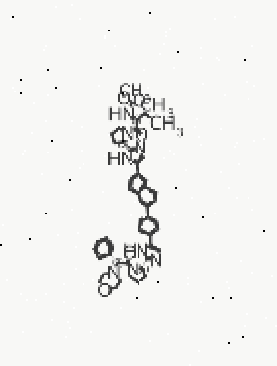 COC(=O)N[C@H](C(=O)N1CCC[C@H]1c1ncc(-c2ccc3cc(-c4ccc(-c5cnc([C@@H]6CCCN6C(=O)[C@@H](c6ccccc6)N6CCOCC6)[nH]5)cc4)ccc3c2)[nH]1)C(C)C